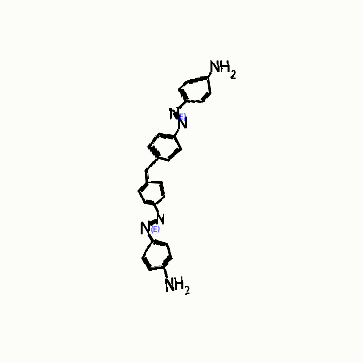 Nc1ccc(/N=N/c2ccc(Cc3ccc(/N=N/c4ccc(N)cc4)cc3)cc2)cc1